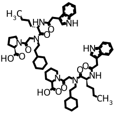 CCCC[C@H](NC(=O)Cc1c[nH]c2ccccc12)C(=O)N(CCC1CCCCC1)CC(=O)N1CCCCC1C(=O)O.CCCC[C@H](NC(=O)Cc1c[nH]c2ccccc12)C(=O)N(CCC1CCCCC1)CC(=O)N1CCC[C@@H]1C(=O)O